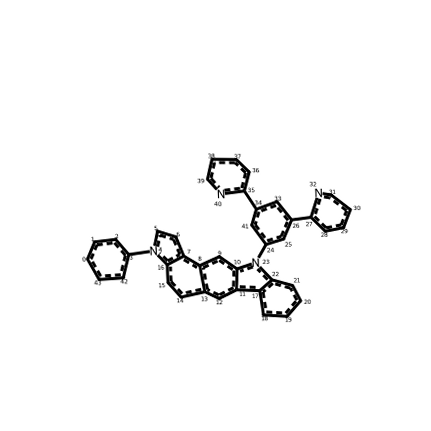 c1ccc(-n2ccc3c4cc5c(cc4ccc32)c2ccccc2n5-c2cc(-c3ccccn3)cc(-c3ccccn3)c2)cc1